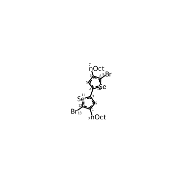 CCCCCCCCc1cc(-c2cc(CCCCCCCC)c(Br)[se]2)[se]c1Br